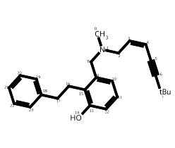 CN(C/C=C\C#CC(C)(C)C)Cc1cccc(O)c1CCc1ccccc1